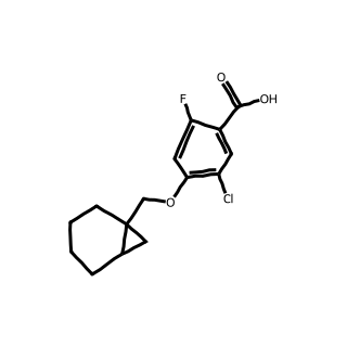 O=C(O)c1cc(Cl)c(OCC23CCCCC2C3)cc1F